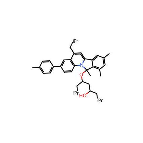 Cc1ccc(-c2ccc3c(c2)C(CC(C)C)=C=C2c4cc(C)cc(C)c4C(C)(OC(CC(C)C)CC(O)CC(C)C)N23)cc1